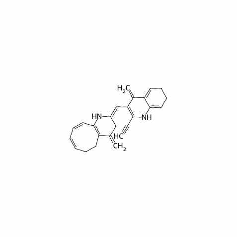 C#CC1=C(/C=C2\CC(=C)C3=C(/C=C\C=C/CC3)N2)C(=C)C2=CCCC=C2N1